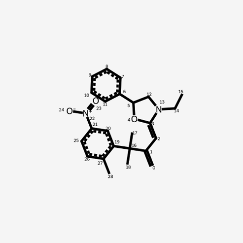 C=C(/C=C1\OC(c2ccccc2)CN1CC)C(C)(C)c1cc([N+](=O)[O-])ccc1C